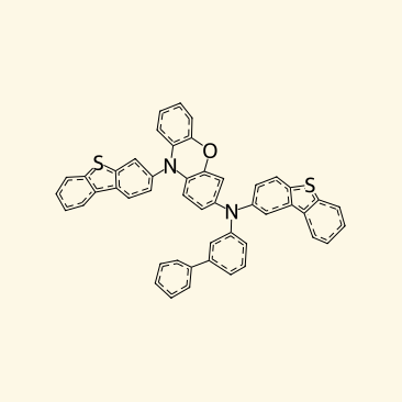 c1ccc(-c2cccc(N(c3ccc4c(c3)Oc3ccccc3N4c3ccc4c(c3)sc3ccccc34)c3ccc4sc5ccccc5c4c3)c2)cc1